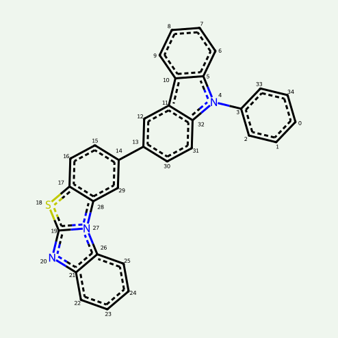 c1ccc(-n2c3ccccc3c3cc(-c4ccc5sc6nc7ccccc7n6c5c4)ccc32)cc1